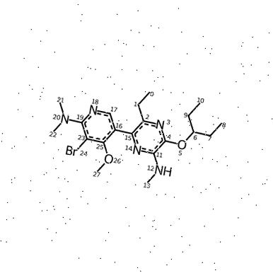 CCc1nc(OC(CC)CC)c(NC)nc1-c1cnc(N(C)C)c(Br)c1OC